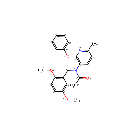 Bc1ccc(N(Cc2cc(OC)ccc2OC)C(C)=O)c(Oc2ccccc2)n1